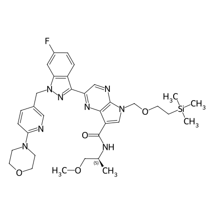 COC[C@H](C)NC(=O)c1cn(COCC[Si](C)(C)C)c2ncc(-c3nn(Cc4ccc(N5CCOCC5)nc4)c4cc(F)ccc34)nc12